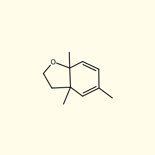 CC1=CC2(C)CCOC2(C)C=C1